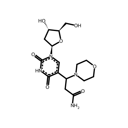 NC(=O)CC(c1cn([C@H]2C[C@H](O)[C@@H](CO)O2)c(=O)[nH]c1=O)N1CCOCC1